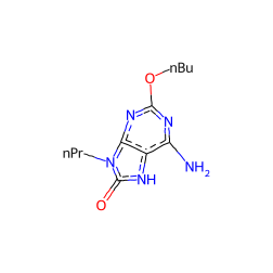 CCCCOc1nc(N)c2[nH]c(=O)n(CCC)c2n1